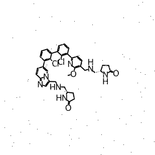 COc1nc(-c2cccc(-c3cccc(-c4ccc5ncc(CNC[C@H]6CCC(=O)N6)n5c4)c3Cl)c2Cl)ccc1CNC[C@@H]1CCC(=O)N1